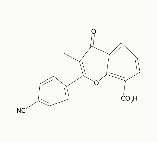 Cc1c(-c2ccc(C#N)cc2)oc2c(C(=O)O)cccc2c1=O